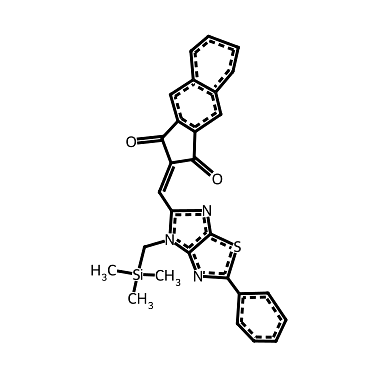 C[Si](C)(C)Cn1c(C=C2C(=O)c3cc4ccccc4cc3C2=O)nc2sc(-c3ccccc3)nc21